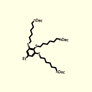 [CH2]Cc1cc(SCCCCCCCCCCCCCCCC)c(SCCCCCCCCCCCCCCCC)c(SCCCCCCCCCCCCCCCC)c1